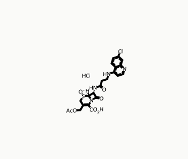 CC(=O)OCC1=C(C(=O)O)N2C(=O)[C@@H](NC(=O)CCNc3ccnc4cc(Cl)ccc34)[C@H]2[S+]([O-])C1.Cl